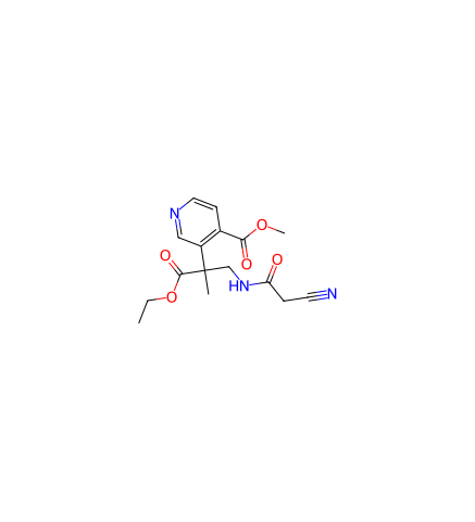 CCOC(=O)C(C)(CNC(=O)CC#N)c1cnccc1C(=O)OC